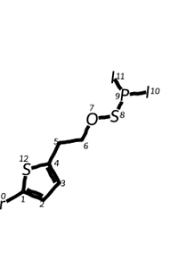 Brc1ccc(CCOSP(I)I)s1